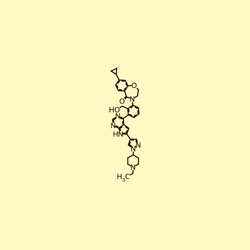 CCN1CCC(n2cc(-c3cc4c(-c5cccc(N6CCOc7cc(C8CC8)ccc7C6=O)c5CO)ncnc4[nH]3)cn2)CC1